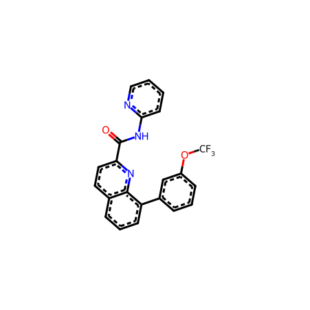 O=C(Nc1ccccn1)c1ccc2cccc(-c3cccc(OC(F)(F)F)c3)c2n1